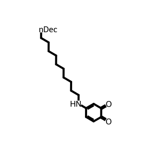 CCCCCCCCCCCCCCCCCCCCNC1=CC(=O)C(=O)C=C1